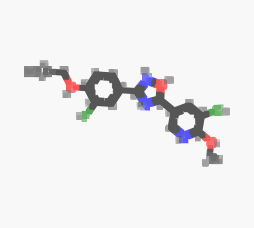 CCC(C)Oc1ncc(-c2nc(-c3ccc(OCC(=O)O)c(F)c3)no2)cc1Cl